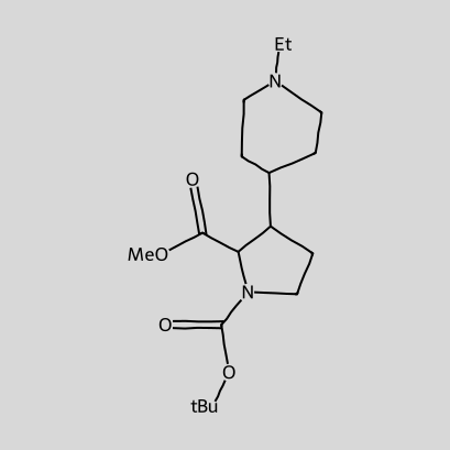 CCN1CCC(C2CCN(C(=O)OC(C)(C)C)C2C(=O)OC)CC1